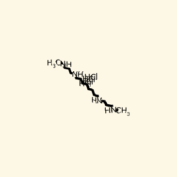 CNCCCNCCCCCCCCNCCCNC.Cl.Cl.Cl.Cl